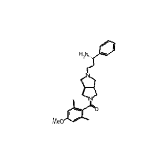 COc1cc(C)c(C(=O)N2CC3CN(CC[C@H](N)c4ccccc4)CC3C2)c(C)c1